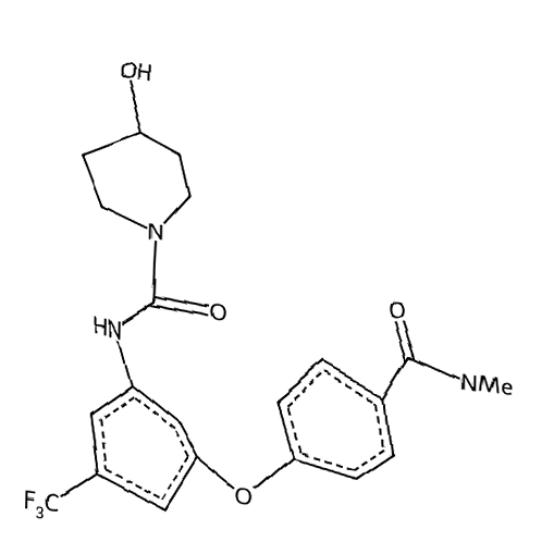 CNC(=O)c1ccc(Oc2cc(NC(=O)N3CCC(O)CC3)cc(C(F)(F)F)c2)cc1